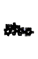 Nc1ccccc1-c1csc2nc(/C=C/c3cccnc3)c(Cl)c(=O)n12